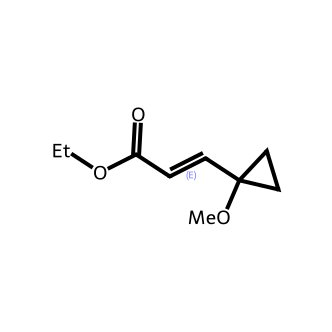 CCOC(=O)/C=C/C1(OC)CC1